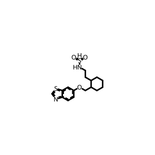 O=[SH](=O)NCCC1CCCCC1COc1ccc2ncsc2c1